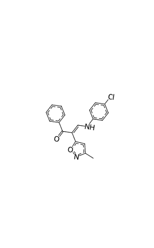 Cc1cc(/C(=C\Nc2ccc(Cl)cc2)C(=O)c2ccccc2)on1